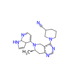 C[C@@H]1Cc2ncnc(N3CCCC(C#N)C3)c2CN1C1=CC=NC2NC=CC12